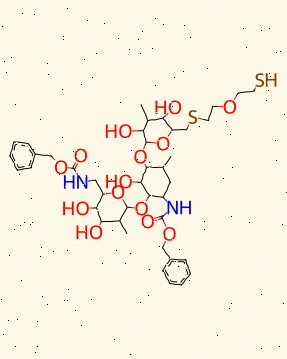 CC1CC(NC(=O)OCc2ccccc2)C(OC2OC(CNC(=O)OCc3ccccc3)C(O)C(O)C2C)C(O)C1OC1OC(CSCCOCCS)C(O)C(C)C1O